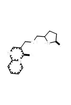 O=C1CCC(CNCc2cnc3ccccn3c2=O)N1